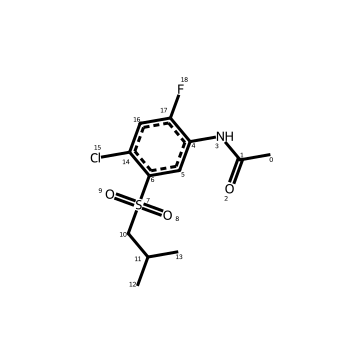 CC(=O)Nc1cc(S(=O)(=O)CC(C)C)c(Cl)cc1F